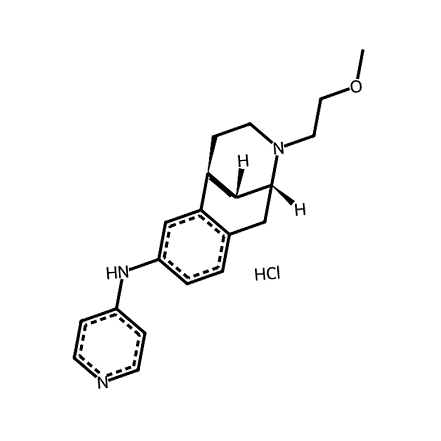 COCCN1CC[C@]23CCCC[C@H]2[C@H]1Cc1ccc(Nc2ccncc2)cc13.Cl